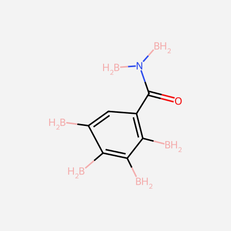 Bc1cc(C(=O)N(B)B)c(B)c(B)c1B